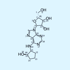 OC[C@H]1OC(n2cnc3c(NC4CCC[C@H]4O)ncnc32)C(O)C1O